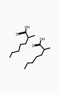 CCCCCC(C)C(=O)O.CCCCCC(C)C(=O)O